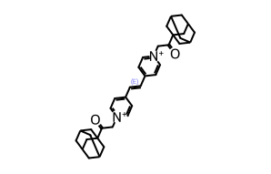 O=C(C[n+]1ccc(/C=C/c2cc[n+](CC(=O)C34CC5CC(CC(C5)C3)C4)cc2)cc1)C12CC3CC(CC(C3)C1)C2